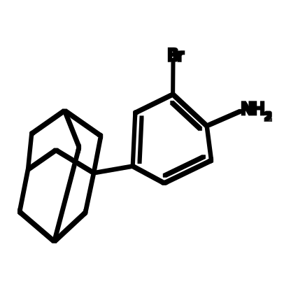 Nc1ccc(C23CC4CC(CC(C4)C2)C3)cc1Br